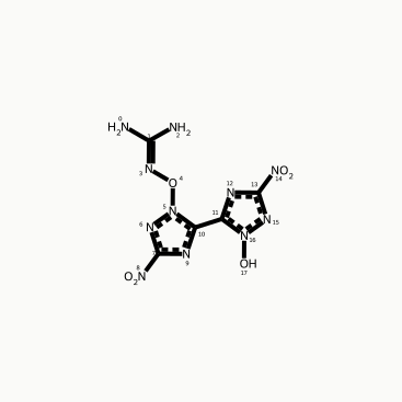 NC(N)=NOn1nc([N+](=O)[O-])nc1-c1nc([N+](=O)[O-])nn1O